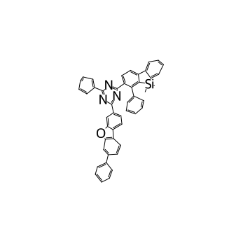 C[Si]1(C)c2ccccc2-c2ccc(-c3nc(-c4ccccc4)nc(-c4ccc5c(c4)oc4cc(-c6ccccc6)ccc45)n3)c(-c3ccccc3)c21